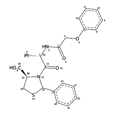 CC(C)[C@H](NC(=O)COc1ccccc1)C(=O)N1C(c2ccccc2)SC[C@H]1C(=O)O